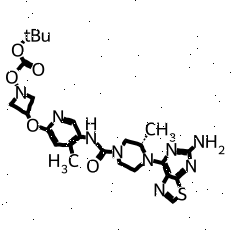 Cc1cc(OC2CN(OC(=O)OC(C)(C)C)C2)ncc1NC(=O)N1CCN(c2nc(N)nc3scnc23)[C@@H](C)C1